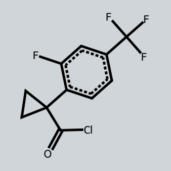 O=C(Cl)C1(c2ccc(C(F)(F)F)cc2F)CC1